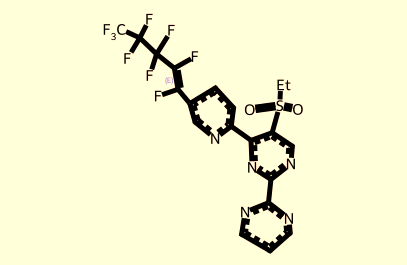 CCS(=O)(=O)c1cnc(-c2ncccn2)nc1-c1ccc(/C(F)=C(\F)C(F)(F)C(F)(F)C(F)(F)F)cn1